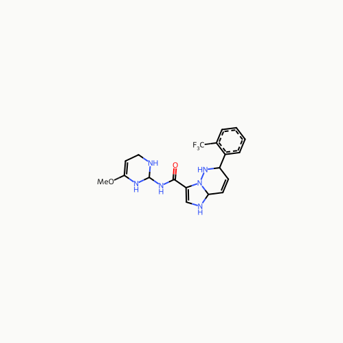 COC1=CCNC(NC(=O)C2=CNC3C=CC(c4ccccc4C(F)(F)F)NN23)N1